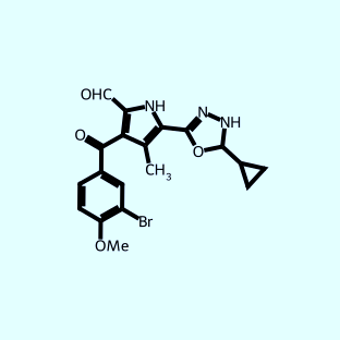 COc1ccc(C(=O)c2c(C=O)[nH]c(C3=NNC(C4CC4)O3)c2C)cc1Br